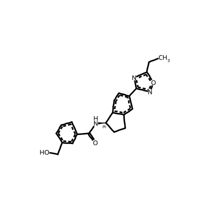 CCc1nc(-c2ccc3c(c2)CC[C@H]3NC(=O)c2cccc(CO)c2)no1